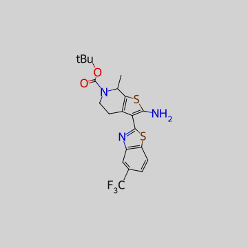 CC1c2sc(N)c(-c3nc4cc(C(F)(F)F)ccc4s3)c2CCN1C(=O)OC(C)(C)C